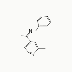 CC(=NCc1ccccc1)c1cc[c]c(C)c1